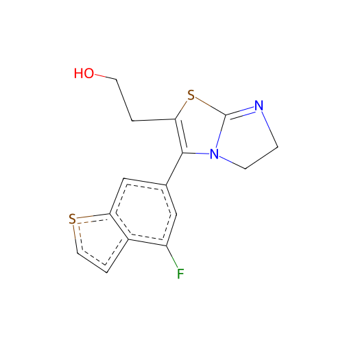 OCCC1=C(c2cc(F)c3ccsc3c2)N2CCN=C2S1